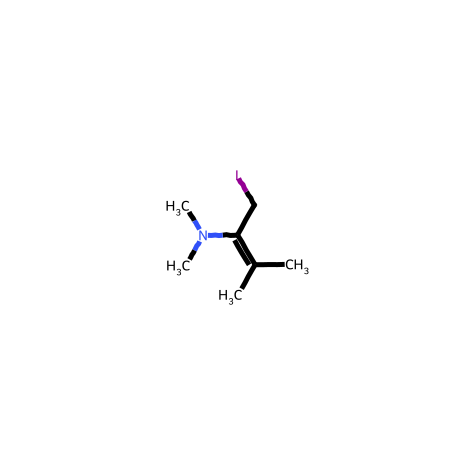 CC(C)=C(CI)N(C)C